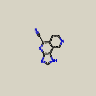 N#Cc1nc2nc[nH]c2c2cnccc12